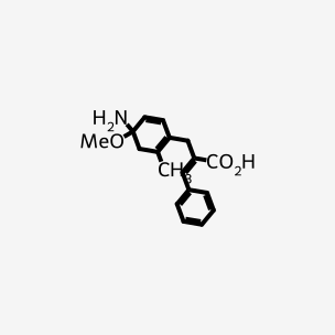 COC1(N)C=CC(CC(=Cc2ccccc2)C(=O)O)=C(C)C1